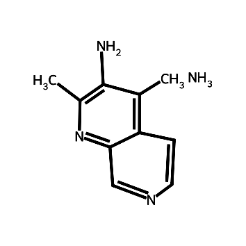 Cc1nc2cnccc2c(C)c1N.N